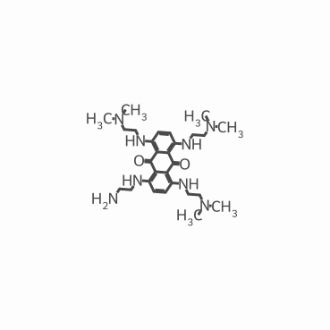 CN(C)CCNc1ccc(NCCN)c2c1C(=O)c1c(NCCN(C)C)ccc(NCCN(C)C)c1C2=O